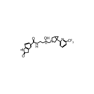 CN1C(=O)Cc2cc(C(=O)NCC[C@@H](O)CN3CC4CC4(c4cccc(C(F)(F)F)n4)C3)ccc21